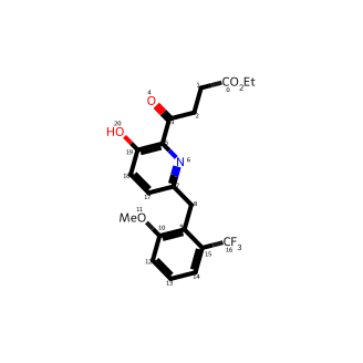 CCOC(=O)CCC(=O)c1nc(Cc2c(OC)cccc2C(F)(F)F)ccc1O